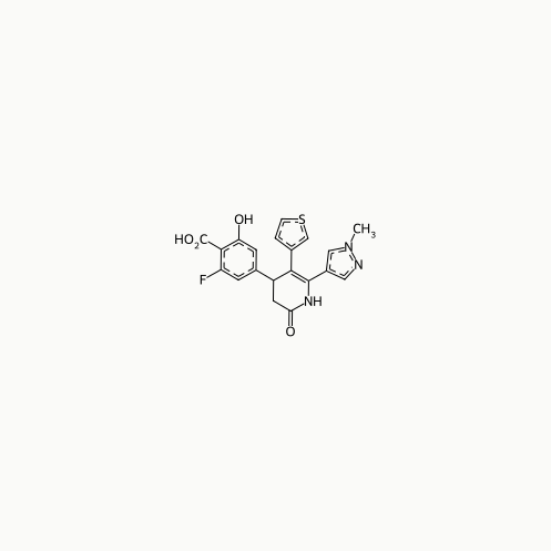 Cn1cc(C2=C(c3ccsc3)C(c3cc(O)c(C(=O)O)c(F)c3)CC(=O)N2)cn1